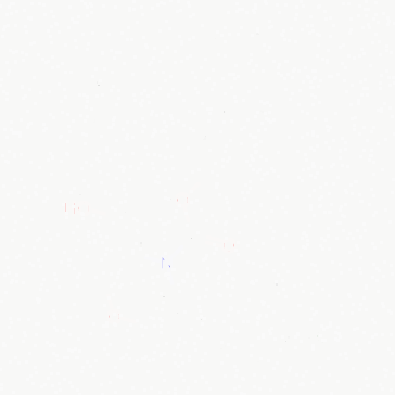 O=C(OCC1c2ccccc2-c2ccccc21)N1[C@@H](CO)COC[C@H]1c1ccc(Cl)cc1